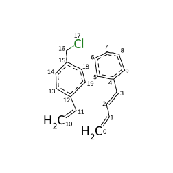 C=CC=Cc1ccccc1.C=Cc1ccc(CCl)cc1